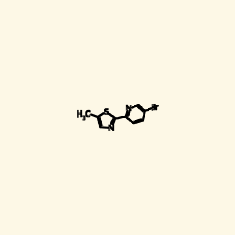 Cc1cnc(-c2ccc(Br)cn2)s1